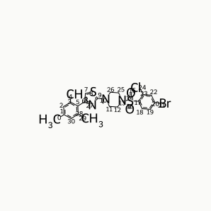 Cc1cc(C)c(-c2csc(N3CCN(S(=O)(=O)c4ccc(Br)cc4Cl)CC3)n2)c(C)c1